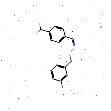 FC(F)c1ccc(/[C]=N\OCc2cccc(Cl)c2)cc1